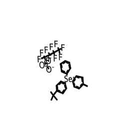 Cc1ccc([Se+](c2ccccc2)c2ccc(C(C)(C)C)cc2)cc1.O=S(=O)([O-])C(F)(F)C(F)(F)C(F)(F)C(F)(F)F